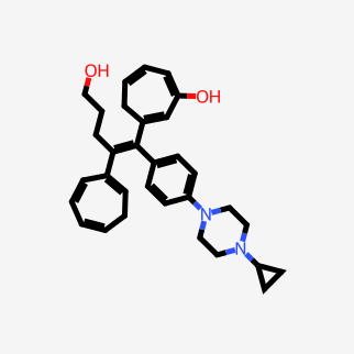 OCCC/C(C1=CCC=CC=C1)=C(\C1=CC(O)=CC=CC1)c1ccc(N2CCN(C3CC3)CC2)cc1